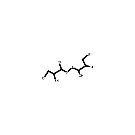 OC(SSC(O)C(S)CS)C(S)CS